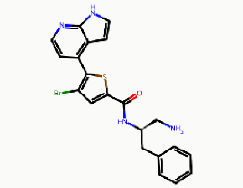 NC[C@@H](Cc1ccccc1)NC(=O)c1cc(Br)c(-c2ccnc3[nH]ccc23)s1